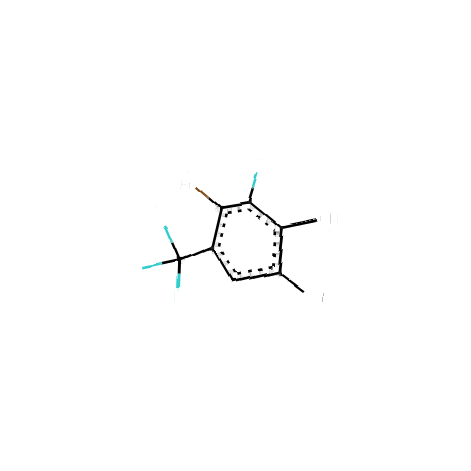 Cc1cc(C(F)(F)F)c(Br)c(F)c1C